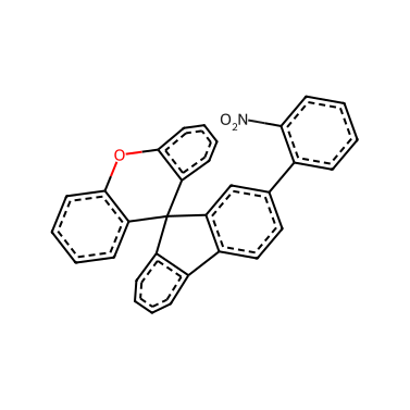 O=[N+]([O-])c1ccccc1-c1ccc2c(c1)C1(c3ccccc3Oc3ccccc31)c1ccccc1-2